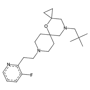 CC(C)(C)CN1CC2(CCN(CCc3ncccc3F)CC2)OC2(CC2)C1